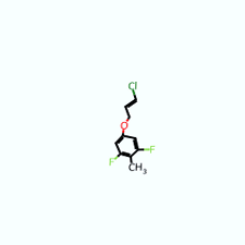 Cc1c(F)cc(OC/C=C/Cl)cc1F